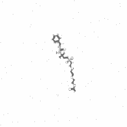 CC(=O)OCCOCCOCCS(=O)(=O)CCC(C)(C)NC(=O)OCc1ccccc1